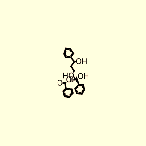 O=C(O)c1ccccc1.O=C(O)c1ccccc1.OCCC(O)c1ccccc1